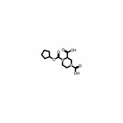 O=C(O)C1CN(C(=O)O)CCN1C(=O)OC1CCCC1